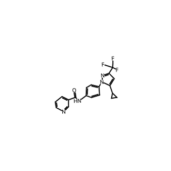 O=C(Nc1ccc(-n2nc(C(F)(F)F)cc2C2CC2)cc1)c1cccnc1